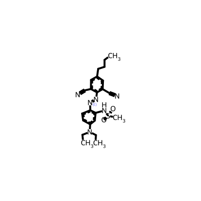 CCCCc1cc(C#N)c(/N=N/c2ccc(N(CC)CC)cc2NS(C)(=O)=O)c(C#N)c1